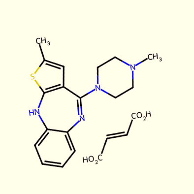 Cc1cc2c(s1)Nc1ccccc1N=C2N1CCN(C)CC1.O=C(O)/C=C/C(=O)O